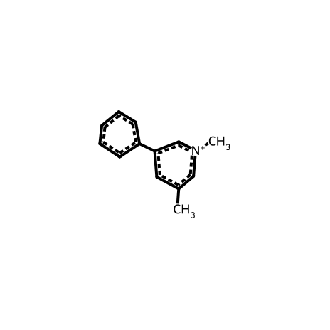 Cc1cc(-c2ccccc2)c[n+](C)c1